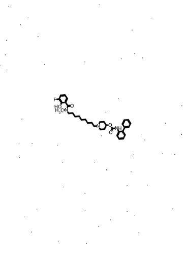 CN(CCCCCCCCCN1CCC(OC(=O)Nc2ccccc2-c2ccccc2)CC1)C(=O)c1cccc(F)c1O